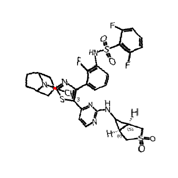 CN1CC2CCC(C1)N2c1nc(-c2cccc(NS(=O)(=O)c3c(F)cccc3F)c2F)c(-c2ccnc(NC3[C@H]4CS(=O)(=O)C[C@@H]34)n2)s1